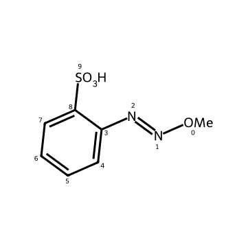 CON=Nc1ccccc1S(=O)(=O)O